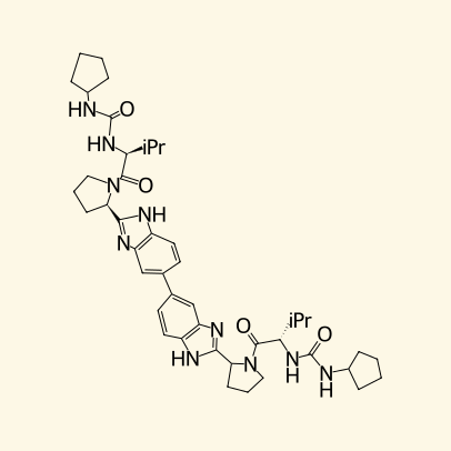 CC(C)[C@H](NC(=O)NC1CCCC1)C(=O)N1CCCC1c1nc2cc(-c3ccc4[nH]c([C@H]5CCCN5C(=O)[C@@H](NC(=O)NC5CCCC5)C(C)C)nc4c3)ccc2[nH]1